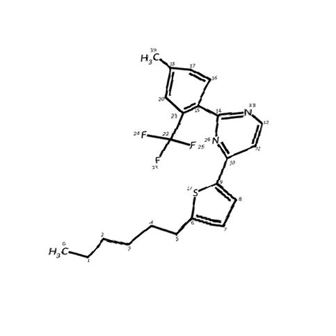 CCCCCCc1ccc(-c2ccnc(-c3ccc(C)cc3C(F)(F)F)n2)s1